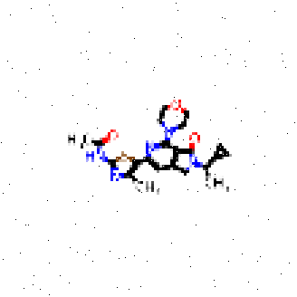 CC(=O)Nc1nc(C)c(-c2cc3c(c(N4CCOCC4)n2)C(=O)N(C(C)C2CC2)C3)s1